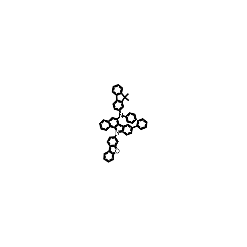 CC1(C)c2ccccc2-c2ccc(N(c3ccccc3)c3cc4ccccc4c4c3c3cc(-c5ccccc5)ccc3n4-c3ccc4c(c3)oc3ccccc34)cc21